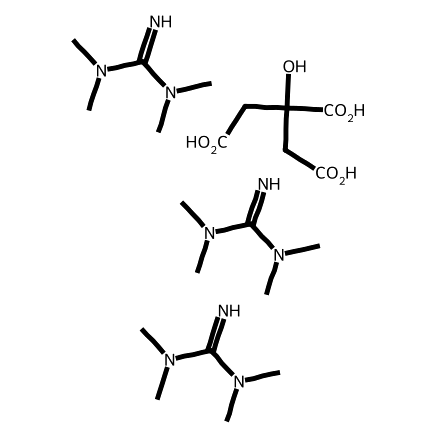 CN(C)C(=N)N(C)C.CN(C)C(=N)N(C)C.CN(C)C(=N)N(C)C.O=C(O)CC(O)(CC(=O)O)C(=O)O